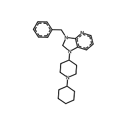 c1ccc(CN2CN(C3CCN(C4CCCCC4)CC3)c3cccnc32)cc1